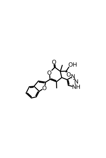 CC1=C(c2cc3ccccc3o2)OC(=O)C(C)(C(=O)O)C1c1c[nH]nn1